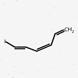 C=C/C=C\C=C\I